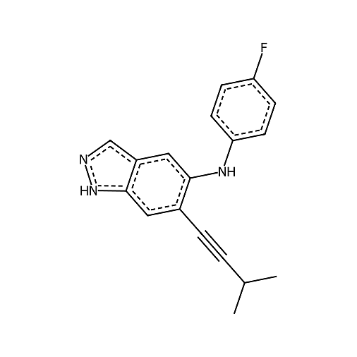 CC(C)C#Cc1cc2[nH]ncc2cc1Nc1ccc(F)cc1